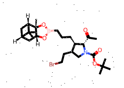 CC(=O)[C@H]1[C@H](CCCB2O[C@@H]3C[C@@H]4C[C@@H](C4(C)C)[C@]3(C)O2)C(CCBr)CN1C(=O)OC(C)(C)C